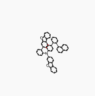 c1ccc(-c2cccc3ccccc23)c(-c2ccc(N(c3ccc4c(c3)oc3ccccc34)c3ccccc3-c3ccc4c(c3)oc3ccccc34)cc2)c1